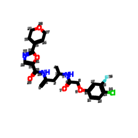 C=C(CC(C)NC(=O)COc1ccc(Cl)c(F)c1)NC(=O)c1cnc(C2=CCOCC2)o1